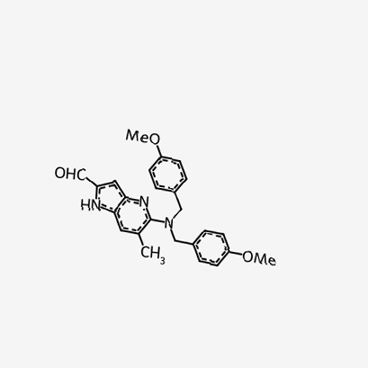 COc1ccc(CN(Cc2ccc(OC)cc2)c2nc3cc(C=O)[nH]c3cc2C)cc1